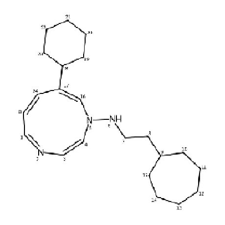 c1cnccn(NCCC2CCCCCC2)cc(C2CCCCC2)c1